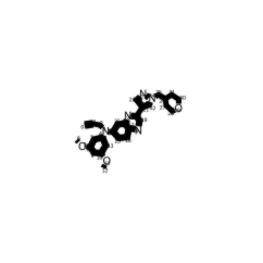 C#CCN(c1cc(OC)cc(OC)c1)c1ccc2ncc(-c3cnn(CC4CCOCC4)c3)nc2c1